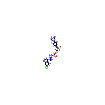 O=C(NCCNc1ccnc2cc(Cl)ccc12)OC[C@@H]1CN(c2ccc(N3CCOCC3)c(F)c2)C(=O)O1